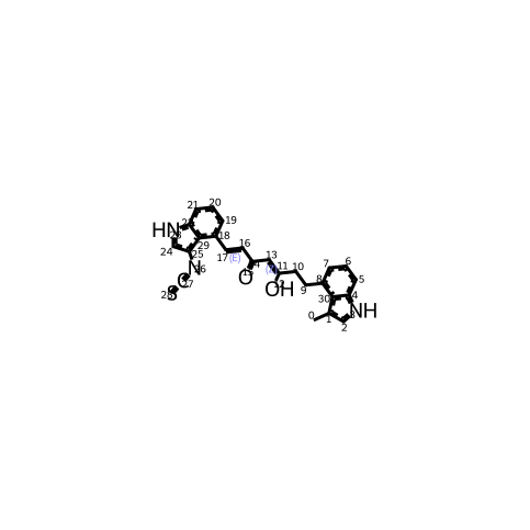 Cc1c[nH]c2cccc(CC/C(O)=C/C(=O)/C=C/c3cccc4[nH]cc(N=C=S)c34)c12